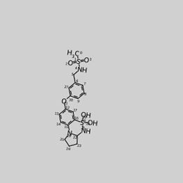 CS(=O)(=O)NCc1cccc(Oc2ccc3c(c2)S(O)(O)NC2CCCN32)c1